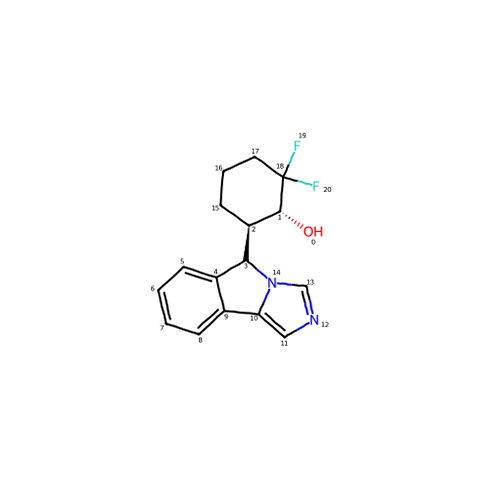 O[C@@H]1[C@@H](C2c3ccccc3-c3cncn32)CCCC1(F)F